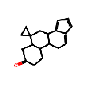 O=C1CCC2C3CC=C4C=CC=C4C3CC3(CC3)C2C1